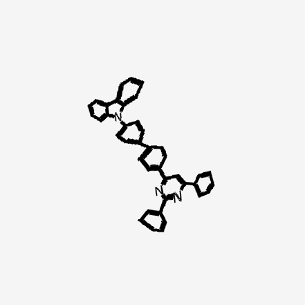 c1ccc(-c2cc(-c3ccc(-c4ccc(-n5c6ccccc6c6ccccc65)cc4)cc3)nc(-c3ccccc3)n2)cc1